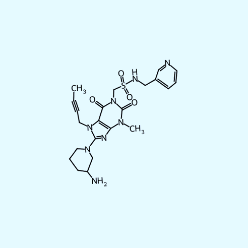 CC#CCn1c(N2CCCC(N)C2)nc2c1c(=O)n(CS(=O)(=O)NCc1cccnc1)c(=O)n2C